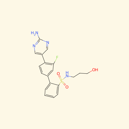 Nc1ncc(-c2ccc(-c3ccccc3S(=O)(=O)NCCCO)cc2F)cn1